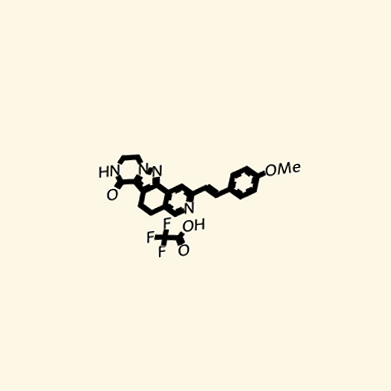 COc1ccc(C=Cc2cc3c(cn2)CCc2c-3nn3c2C(=O)NCC3)cc1.O=C(O)C(F)(F)F